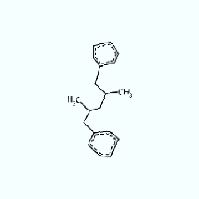 C[C](Cc1ccccc1)CC(C)Cc1ccccc1